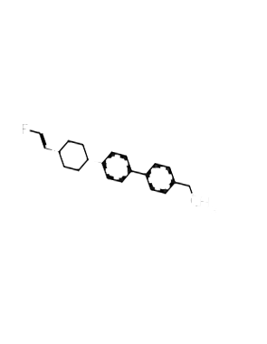 CCc1ccc(-c2ccc([C@H]3CC[C@H](C=CF)CC3)cc2)cc1